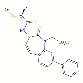 CCOC(=O)CN1C(=O)C(NC(=O)[C@@H](SC(C)=O)C(C)C)C=Cc2ccc(-c3ccccc3)cc21